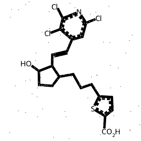 O=C(O)c1ccc(CCCC2CCC(O)C2C=Cc2cc(Cl)nc(Cl)c2Cl)s1